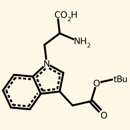 CC(C)(C)OC(=O)Cc1cn(CC(N)C(=O)O)c2ccccc12